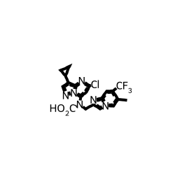 Cc1cn2cc(CN(C(=O)O)c3cc(Cl)nc4c(C5CC5)cnn34)nc2cc1C(F)(F)F